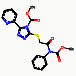 CC(C)(C)OC(=O)N(C(=O)CSc1nnc(-c2ccccn2)n1C(=O)OC(C)(C)C)c1ccccc1